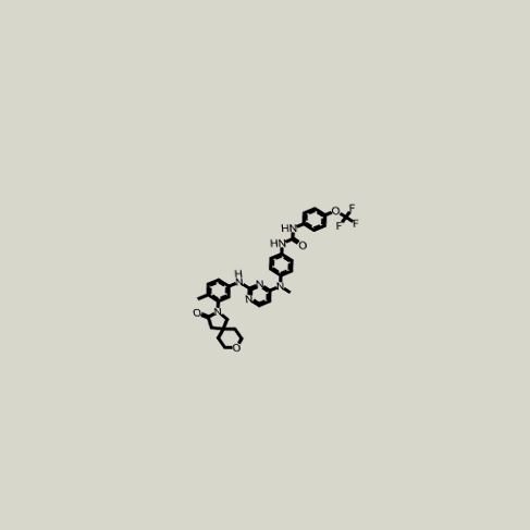 Cc1ccc(Nc2nccc(N(C)c3ccc(NC(=O)Nc4ccc(OC(F)(F)F)cc4)cc3)n2)cc1N1CC2(CCOCC2)CC1=O